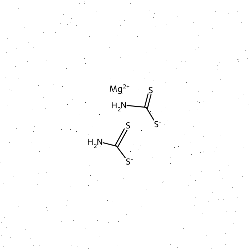 NC(=S)[S-].NC(=S)[S-].[Mg+2]